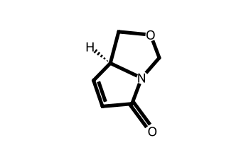 O=C1C=C[C@H]2COCN12